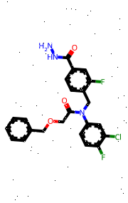 NNC(=O)c1ccc(CN(C(=O)COCc2ccccc2)c2ccc(F)c(Cl)c2)c(F)c1